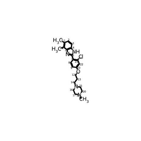 Cc1ccc2[nH]c(-c3ccc(OCCCN4CCN(C)CC4)cc3Cl)nc2c1C